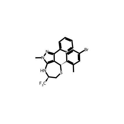 Cc1cc(Br)ccc1[C@@H]1SC[C@@H](C(F)(F)F)Nc2c1c(-c1ccccn1)nn2C